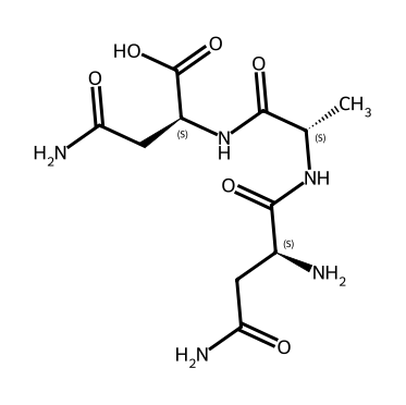 C[C@H](NC(=O)[C@@H](N)CC(N)=O)C(=O)N[C@@H](CC(N)=O)C(=O)O